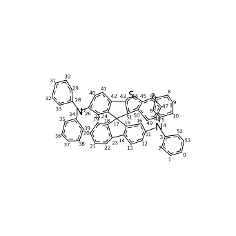 c1ccc(N(c2ccccc2)c2ccc3c(c2)C2(c4ccccc4-3)c3cc(N(c4ccccc4)c4ccccc4)ccc3-c3sc4ccccc4c32)cc1